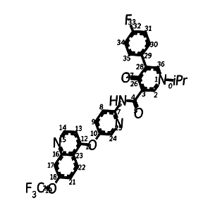 CC(C)n1cc(C(=O)Nc2ccc(Oc3ccnc4cc(OC(F)(F)F)ccc34)cn2)c(=O)c(-c2ccc(F)cc2)c1